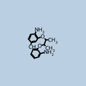 Cc1ccc(N)c(OC(C)C(C)Oc2ccccc2N)c1